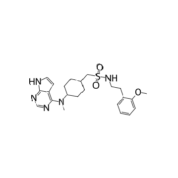 COc1ccccc1CCNS(=O)(=O)CC1CCC(N(C)c2ncnc3[nH]ccc23)CC1